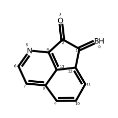 B=c1c(=O)c2nccc3cccc1c32